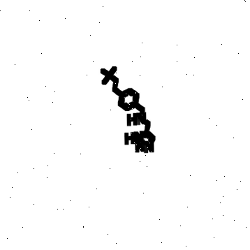 CC(C)(C)CCc1ccc(CNCc2cnn[nH]2)cc1